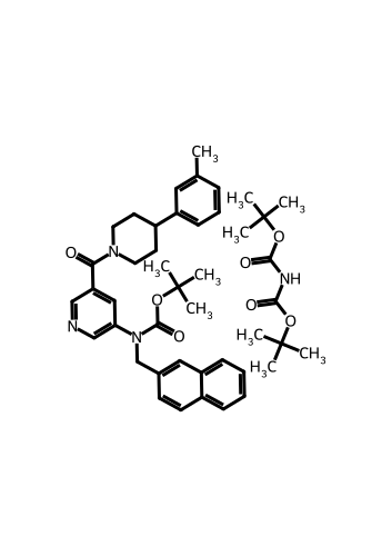 CC(C)(C)OC(=O)NC(=O)OC(C)(C)C.Cc1cccc(C2CCN(C(=O)c3cncc(N(Cc4ccc5ccccc5c4)C(=O)OC(C)(C)C)c3)CC2)c1